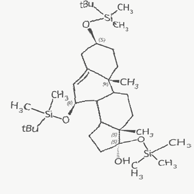 CC(C)(C)[Si](C)(C)O[C@H]1CC[C@@]2(C)C(=C[C@H](O[Si](C)(C)C(C)(C)C)C3C2CC[C@@]2(C)C3CC[C@]2(O)O[Si](C)(C)C)C1